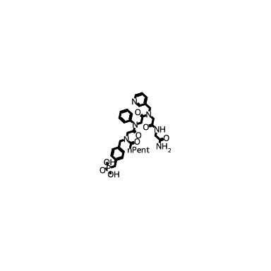 CCCCCC(=O)N(CC(=O)N(CC(=O)N(CC(=O)NCC(N)=O)Cc1cccnc1)c1ccccc1)Cc1ccc(CP(=O)(O)O)cc1